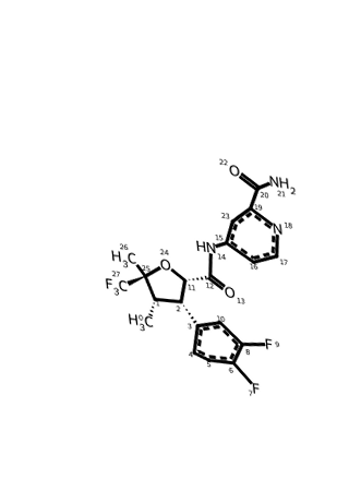 C[C@H]1[C@@H](c2ccc(F)c(F)c2)[C@@H](C(=O)Nc2ccnc(C(N)=O)c2)O[C@]1(C)C(F)(F)F